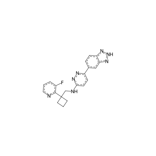 Fc1cccnc1C1(CNc2ccc(-c3ccc4n[nH]nc4c3)nn2)CCC1